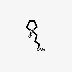 COCCC[N+]1([O-])CCCC1